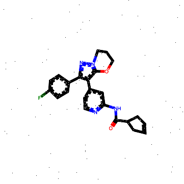 O=C(Nc1cc(-c2c(-c3ccc(F)cc3)nn3c2OCCC3)ccn1)C1CC=CC1